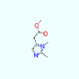 COC(=O)Cc1cnc(C)n1C